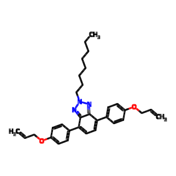 C=CCOc1ccc(-c2ccc(-c3ccc(OCC=C)cc3)c3nn(CCCCCCCC)nc23)cc1